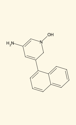 NC1=CN(O)CC(c2cccc3ccccc23)=C1